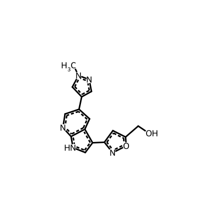 Cn1cc(-c2cnc3[nH]cc(-c4cc(CO)on4)c3c2)cn1